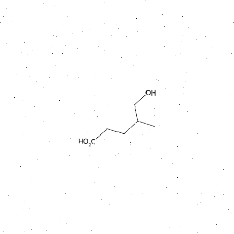 CC(CO)CCC(=O)O